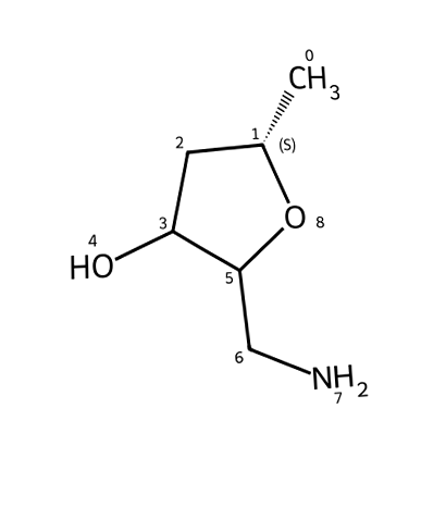 C[C@H]1CC(O)C(CN)O1